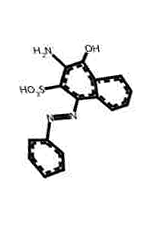 Nc1c(S(=O)(=O)O)c(N=Nc2ccccc2)c2ccccc2c1O